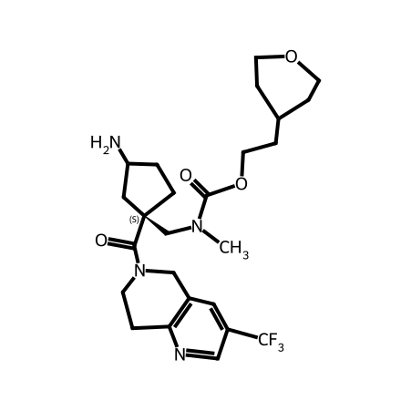 CN(C[C@]1(C(=O)N2CCc3ncc(C(F)(F)F)cc3C2)CCC(N)C1)C(=O)OCCC1CCOCC1